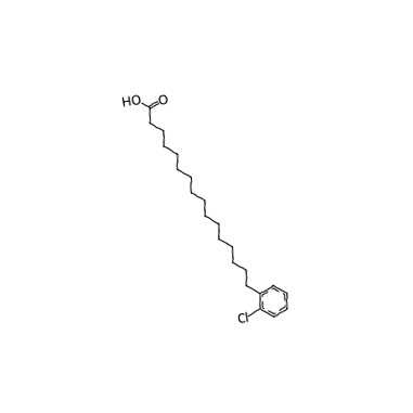 O=C(O)CCCCCCCCCCCCCCCc1ccccc1Cl